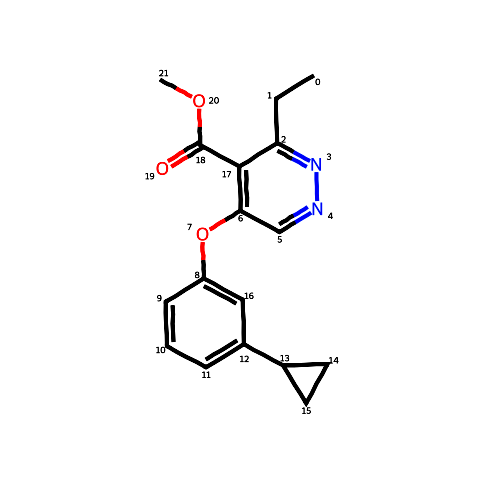 CCc1nncc(Oc2cccc(C3CC3)c2)c1C(=O)OC